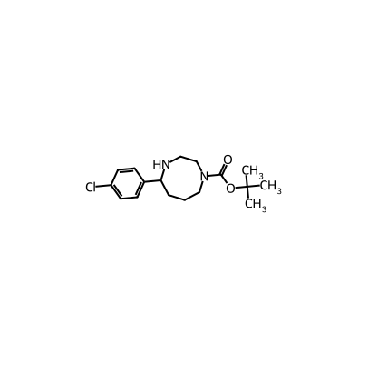 CC(C)(C)OC(=O)N1CCCC(c2ccc(Cl)cc2)NCC1